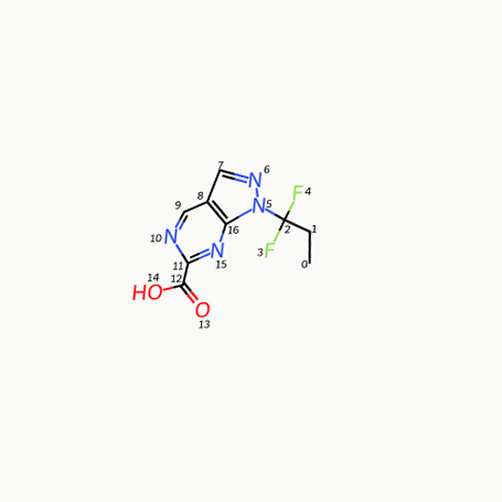 CCC(F)(F)n1ncc2cnc(C(=O)O)nc21